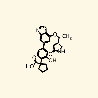 C[C@@H](Oc1cc(-c2ccc(C3(C(=O)O)CCCC3)c(O)c2)cc2ncsc12)[C@H]1CNC(=O)C1